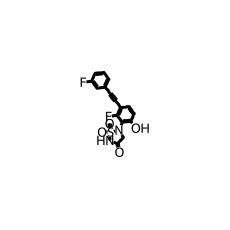 O=C1CN(c2c(O)ccc(C#Cc3cccc(F)c3)c2F)S(=O)(=O)N1